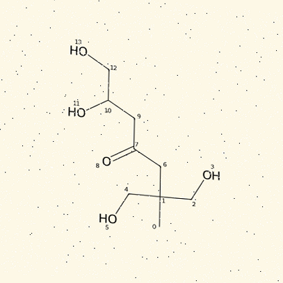 CC(CO)(CO)CC(=O)CC(O)CO